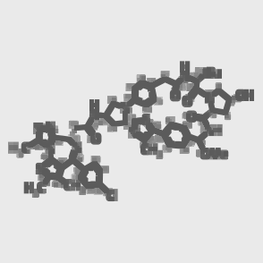 COC(NC(=O)[C@@H]1C[C@@H](O)CN1C(=O)[C@@H](NC(=O)Cc1ccc(N2CCC(NC(=O)C[C@@H]3N=C(c4ccc(Cl)cc4)c4c(sc(C)c4C)-n4c(C)nnc43)C2)cc1)C(C)(C)C)c1ccc(-c2scnc2C)cc1